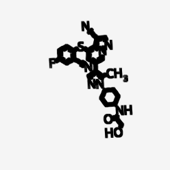 Cc1c(-c2cc(Sc3ccc(F)cc3C#N)c3c(C#N)cnn3c2)cnn1[C@H]1CC[C@H](NC(=O)CO)CC1